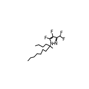 CCCCCCCC(C)(CCCC)n1nc(C(F)F)c(F)c1F